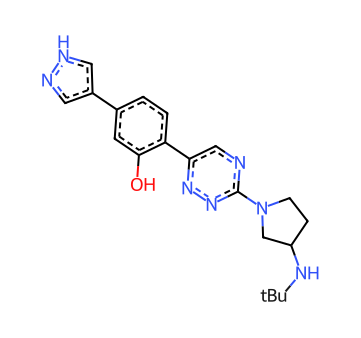 CC(C)(C)NC1CCN(c2ncc(-c3ccc(-c4cn[nH]c4)cc3O)nn2)C1